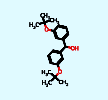 CC(C)(C)Oc1cccc(C(O)c2cccc(OC(C)(C)C)c2)c1